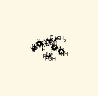 C=CCn1c(=O)c2cnc(Nc3cccc(-n4cccn4)c3)nc2n1-c1cccc(OC2CCNCC2)n1.O=C(O)C(F)(F)F